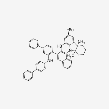 CC(C)(C)c1cc2c3c(c1)C1(C)CCCCC1(C)N3c1c(c(-c3ccc(-c4ccccc4)cc3Nc3ccc(-c4ccccc4)cc3)cc3ccccc13)B2